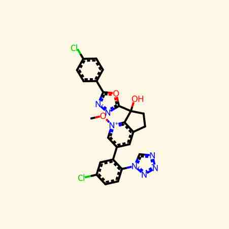 CO[n+]1cc(-c2cc(Cl)ccc2-n2cnnn2)cc2c1C(O)(c1nnc(-c3ccc(Cl)cc3)o1)CC2